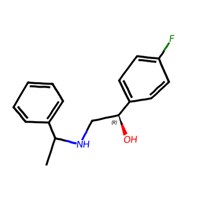 CC(NC[C@H](O)c1ccc(F)cc1)c1ccccc1